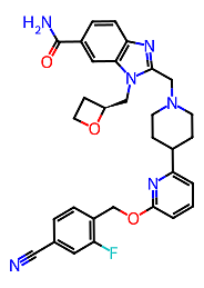 N#Cc1ccc(COc2cccc(C3CCN(Cc4nc5ccc(C(N)=O)cc5n4C[C@@H]4CCO4)CC3)n2)c(F)c1